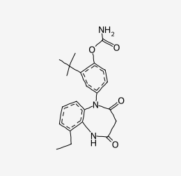 CCc1cccc2c1NC(=O)CC(=O)N2c1ccc(OC(N)=O)c(C(C)(C)C)c1